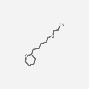 N#CCCOCCCCCC1CCCCO1